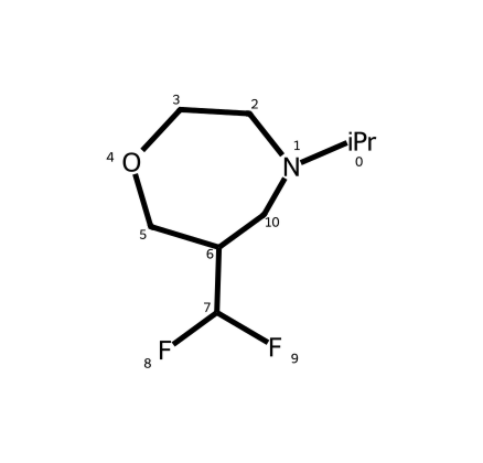 CC(C)N1CCOCC(C(F)F)C1